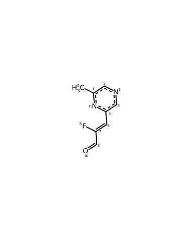 Cc1cncc(C=C(F)C=O)n1